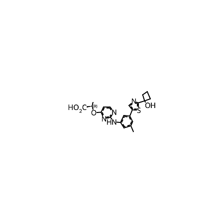 Cc1cc(Nc2nccc(O[C@H](C)C(=O)O)n2)cc(-c2cnc(C3(O)CCC3)s2)c1